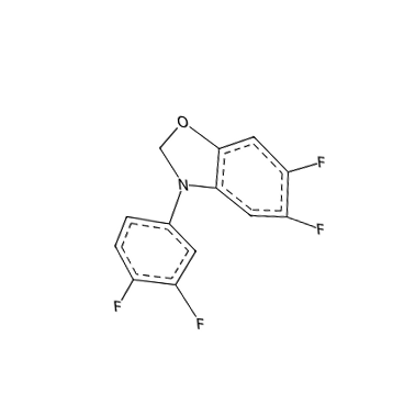 Fc1ccc(N2COc3cc(F)c(F)cc32)cc1F